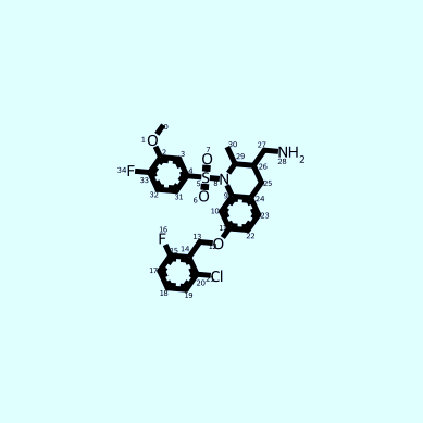 COc1cc(S(=O)(=O)N2c3cc(OCc4c(F)cccc4Cl)ccc3CC(CN)C2C)ccc1F